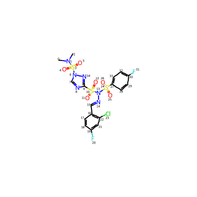 CN(C)S(=O)(=O)n1cnc(S(=O)(=O)N(/N=C/c2ccc(F)cc2Cl)S(=O)(=O)c2ccc(F)cc2)n1